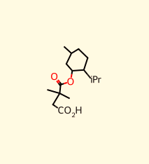 CC1CCC(C(C)C)C(OC(=O)C(C)(C)CC(=O)O)C1